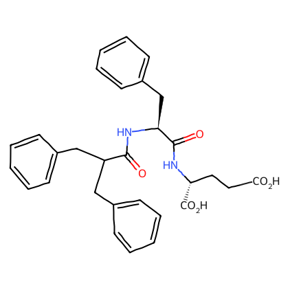 O=C(O)CC[C@@H](NC(=O)[C@H](Cc1ccccc1)NC(=O)C(Cc1ccccc1)Cc1ccccc1)C(=O)O